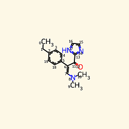 CCc1ccc(C(=CN(C)C)C(=O)c2ncc[nH]2)cc1